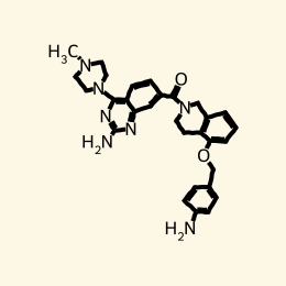 CN1CCN(c2nc(N)nc3cc(C(=O)N4CCc5c(cccc5OCc5ccc(N)cc5)C4)ccc23)CC1